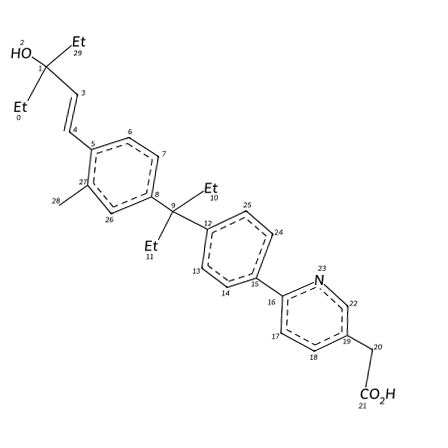 CCC(O)(C=Cc1ccc(C(CC)(CC)c2ccc(-c3ccc(CC(=O)O)cn3)cc2)cc1C)CC